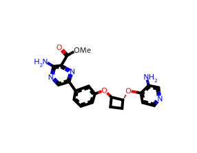 COC(=O)c1nc(-c2cccc(OC3CC[C@H]3Oc3ccncc3N)c2)cnc1N